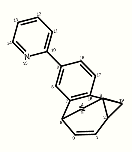 C1=CC2C3C=CC1c1cc(-c4ccccn4)ccc1C23